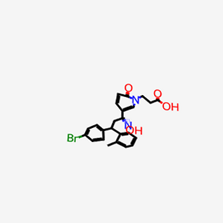 Cc1ccccc1C(C/C(=N\O)c1ccc(=O)n(CCC(=O)O)c1)c1ccc(Br)cc1